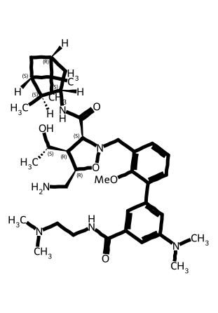 COc1c(CN2O[C@@H](CN)[C@@H]([C@H](C)O)[C@H]2C(=O)N[C@H]2C[C@H]3C[C@@H]([C@@H]2C)C3(C)C)cccc1-c1cc(C(=O)NCCN(C)C)cc(N(C)C)c1